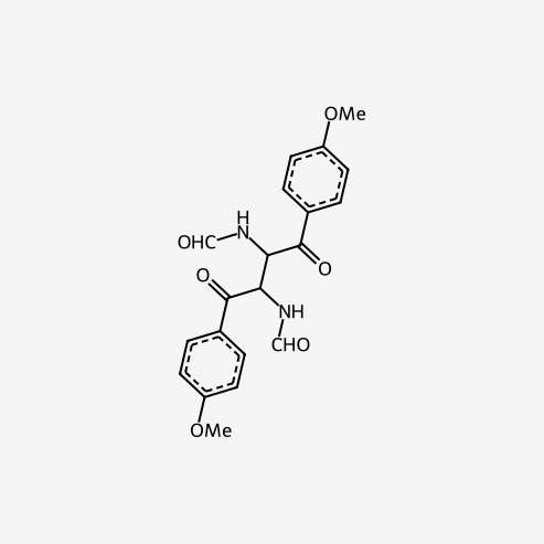 COc1ccc(C(=O)C(NC=O)C(NC=O)C(=O)c2ccc(OC)cc2)cc1